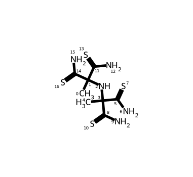 CC(NC(C)(C(N)=S)C(N)=S)(C(N)=S)C(N)=S